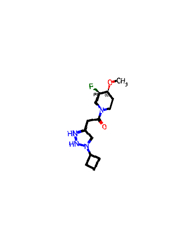 CO[C@H]1CCN(C(=O)CC2CN(C3CCC3)NN2)C[C@H]1F